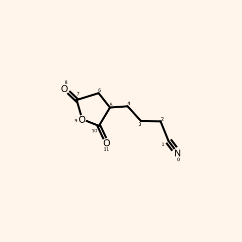 N#CCCCC1CC(=O)OC1=O